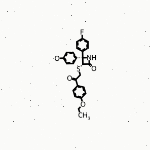 CCOc1ccc(C(=O)CS[C@H]2C(=O)N[C@]2(c2ccc([O])cc2)c2ccc(F)cc2)cc1